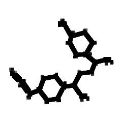 CC(CCC(C)N1CCC(N=[N+]=[N-])CC1)N1CCC(O)CC1